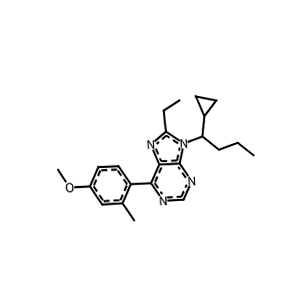 CCCC(C1CC1)n1c(CC)nc2c(-c3ccc(OC)cc3C)ncnc21